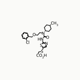 C[C@H]1CC[C@H](N(CCOCc2ccccc2Cl)C(=O)Nc2ncc(SCC(=O)O)s2)CC1